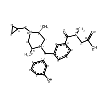 C[C@@H]1CN([C@@H](c2cccc(O)c2)c2cccc(C(=O)N(C)CC(=O)O)c2)[C@@H](C)CN1CC1CC1